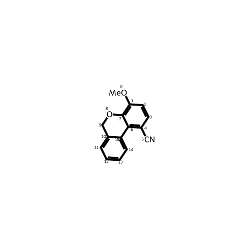 COc1ccc(C#N)c2c1OCc1ccccc1-2